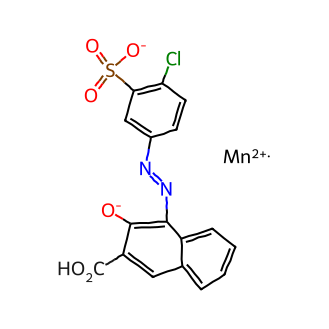 O=C(O)c1cc2ccccc2c(N=Nc2ccc(Cl)c(S(=O)(=O)[O-])c2)c1[O-].[Mn+2]